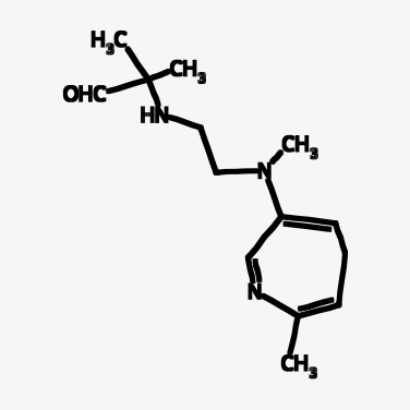 CC1=CCC=C(N(C)CCNC(C)(C)C=O)C=N1